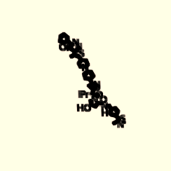 Cc1ncsc1-c1ccc(CNC(=O)[C@@H]2C[C@@H](O)CN2C(=O)[C@@H](c2cc(-c3ccc(N4CCC(c5sc6nnc(-c7ccccc7O)cc6c5C)CC4)cc3)no2)C(C)C)cc1